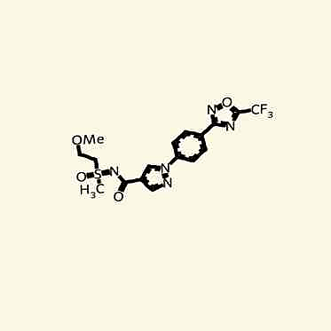 COCCS(C)(=O)=NC(=O)c1cnn(-c2ccc(-c3noc(C(F)(F)F)n3)cc2)c1